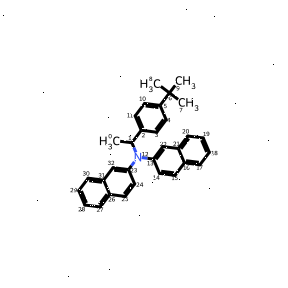 CC(c1ccc(C(C)(C)C)cc1)N(c1ccc2ccccc2c1)c1ccc2ccccc2c1